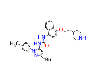 Cc1ccc(-n2nc(C(C)(C)C)cc2NC(=O)Nc2ccc(OCCC3CCNCC3)c3ccccc23)cc1